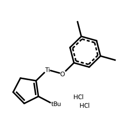 Cc1cc(C)cc([O][Ti][C]2=C(C(C)(C)C)C=CC2)c1.Cl.Cl